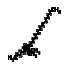 CCCCCCCCCCCCCCCCCCC[n+]1ccn(CCCCC)c1C(C)C